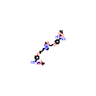 CC(=O)/N=c1/n(CCCCOc2ccc(C(=N)N(C)C(=O)OC(C)(C)C)cc2)ccn1CCCOc1ccc(C(=N)NC(=O)OC(C)(C)C)cc1